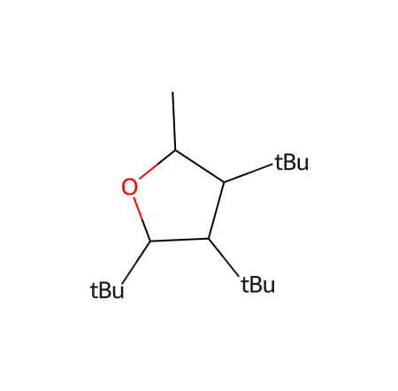 CC1OC(C(C)(C)C)C(C(C)(C)C)C1C(C)(C)C